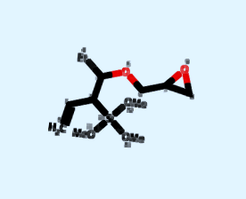 C=CC(C(CC)OCC1CO1)[Si](OC)(OC)OC